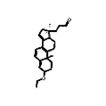 CCOC1C=C2C=CC3=C(CCC4C3=CC[C@@]4(C)CCC=O)C2(C)CC1